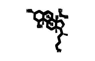 CC(C)CCC[C@@H](C)[C@H]1CC[C@H]2[C@@H]3CC=C4C[C@@H](O)CC(O)[C@]4(C)[C@H]3CC[C@]12C.CCOCC